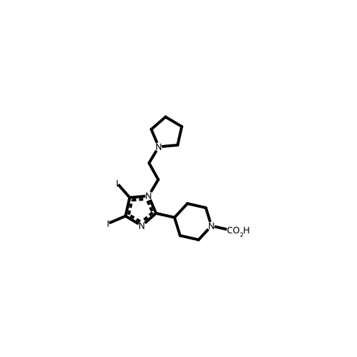 O=C(O)N1CCC(c2nc(I)c(I)n2CCN2CCCC2)CC1